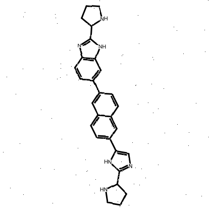 c1cc2cc(-c3cnc(C4CCCN4)[nH]3)ccc2cc1-c1ccc2nc(C3CCCN3)[nH]c2c1